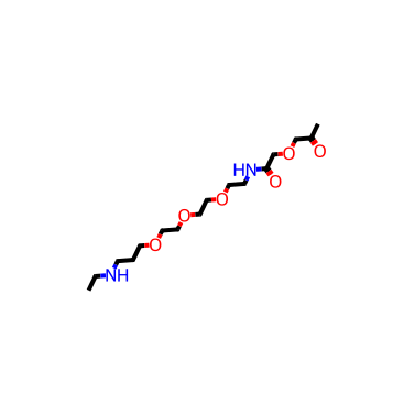 CCNCCCOCCOCCOCCNC(=O)COCC(C)=O